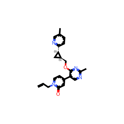 C=CCn1ccc(-c2cnc(C)nc2OC[C@H]2C[C@@H]2c2ccc(C)cn2)cc1=O